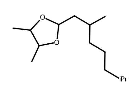 CC(C)CCCC(C)CC1OC(C)C(C)O1